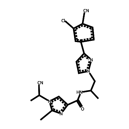 Cc1nc(C(=O)NC(C)Cn2ccc(-c3ccc(C#N)c(Cl)c3)n2)cn1C(C)C#N